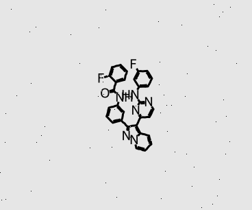 O=C(Nc1cccc(-c2nn3ccccc3c2-c2ccnc(Nc3cccc(F)c3)n2)c1)c1ccccc1F